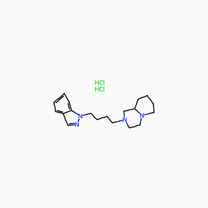 Cl.Cl.c1ccc2c(c1)cnn2CCCCN1CCN2CCCCC2C1